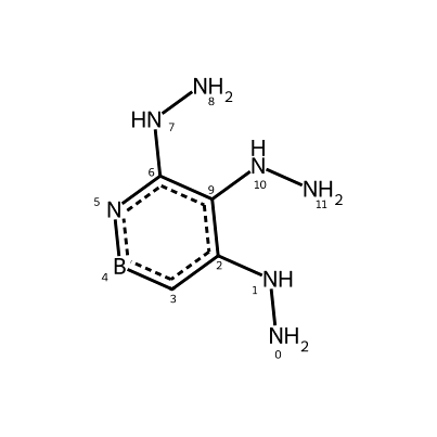 NNc1cbnc(NN)c1NN